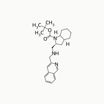 CC(C)(C)OC(=O)N1[C@H](CNCc2cc3ccccc3cn2)C[C@@H]2CCCC[C@@H]21